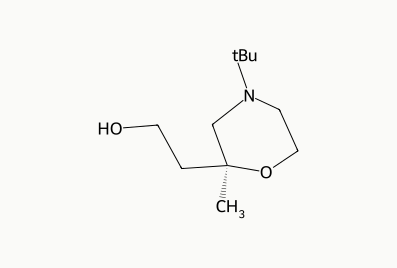 CC(C)(C)N1CCO[C@@](C)(CCO)C1